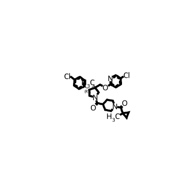 CC1(C(=O)N2CCC(C(=O)N3C[C@H](c4ccc(Cl)cc4)[C@@](C)(COc4ccc(Cl)cn4)C3)CC2)CC1